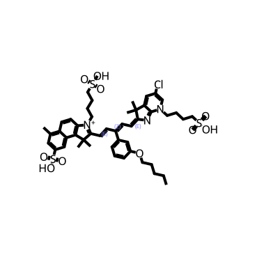 CCCCCOc1cccc(C(=C\C=C2\N=C3C(=CC(Cl)=CN3CCCCS(=O)(=O)O)C2(C)C)/C=C/C2=[N+](CCCCS(=O)(=O)O)c3ccc4c(C)cc(S(=O)(=O)O)cc4c3C2(C)C)c1